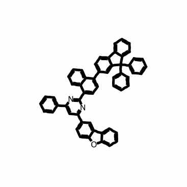 c1ccc(-c2cc(-c3ccc4oc5ccccc5c4c3)nc(-c3ccc(-c4ccc5c(c4)C(c4ccccc4)(c4ccccc4)c4ccccc4-5)c4ccccc34)n2)cc1